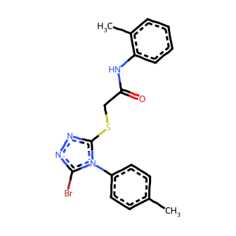 Cc1ccc(-n2c(Br)nnc2SCC(=O)Nc2ccccc2C)cc1